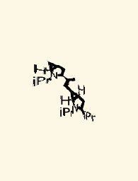 CC(C)C1C[C@@H]2C(CC(C)[C@@H]3CC4C[C@H]4N3C(C)C)[C@@H]2N1C(C)C